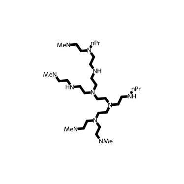 CCCNCCN(CCN(CCNC)CCNC)CCN(CCNCCNC)CCNCCN(CCC)CCNC